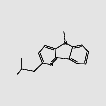 CC(C)Cc1ccc2c(n1)c1ccccc1n2C